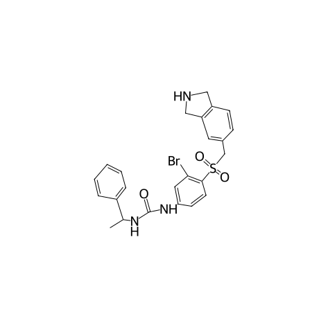 CC(NC(=O)Nc1ccc(S(=O)(=O)Cc2ccc3c(c2)CNC3)c(Br)c1)c1ccccc1